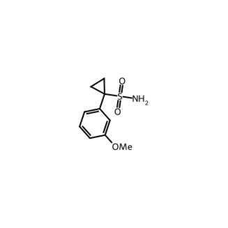 COc1cccc(C2(S(N)(=O)=O)CC2)c1